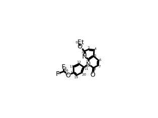 CCOc1ccc2ccc(=O)n(-c3ccc(OC(F)F)cc3)c2n1